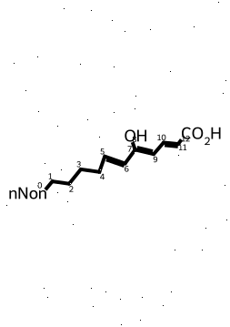 CCCCCCCCCCCCCC=CC(O)=CC=CC(=O)O